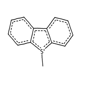 C[s+]1c2ccccc2c2ccccc21